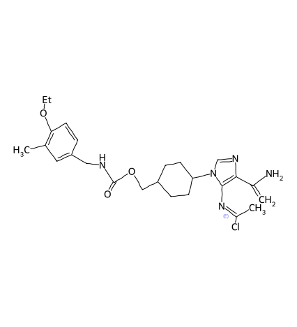 C=C(N)c1ncn(C2CCC(COC(=O)NCc3ccc(OCC)c(C)c3)CC2)c1/N=C(\C)Cl